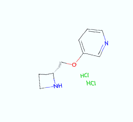 Cl.Cl.c1cncc(OC[C@H]2CCN2)c1